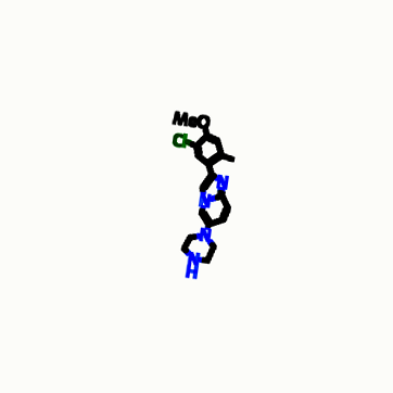 COc1cc(C)c(-c2cn3cc(N4CCNCC4)ccc3n2)cc1Cl